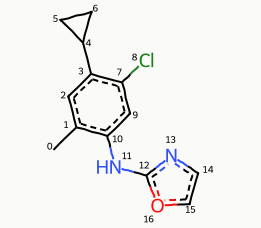 Cc1cc(C2CC2)c(Cl)cc1Nc1ncco1